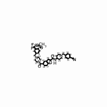 CS(=O)(=O)c1ccc(CN2CCN(C(=O)c3ccc4oc(C(=O)NC5CCN(Cc6ccc(C#N)cc6)CC5)cc4c3)CC2)cc1C(F)(F)F